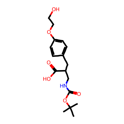 CC(C)(C)OC(=O)NCC(Cc1ccc(OCCO)cc1)C(=O)O